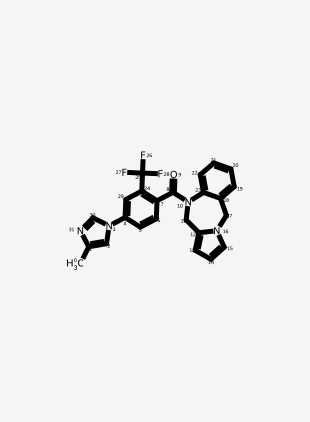 Cc1cn(-c2ccc(C(=O)N3Cc4cccn4Cc4ccccc43)c(C(F)(F)F)c2)cn1